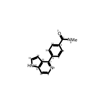 CNC(=O)c1ccc(-c2nccc3[nH]ccc23)cc1